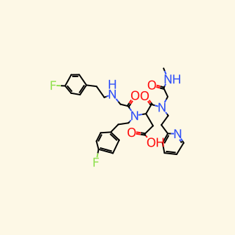 CNC(=O)CN(CCc1ccccn1)C(=O)C(CC(=O)O)N(CCc1ccc(F)cc1)C(=O)CNCCc1ccc(F)cc1